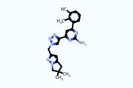 Cc1c(C#N)cccc1-c1cc(-c2cn(Cc3cc4n(n3)CC(C)(C)C4)nn2)nc(N)n1